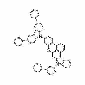 c1ccc(-c2cccc(-n3c4ccccc4c4c5cccc6c5c(cc43)Sc3cc(-n4c5ccc(-c7ccccc7)cc5c5cc(-c7ccccc7)ccc54)ccc3-6)c2)cc1